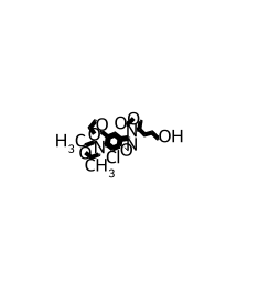 C[C@@H]1CN(c2c(C3OCCO3)cc3c(N4C(=O)OCC4CCCO)noc3c2Cl)C[C@@H](C)O1